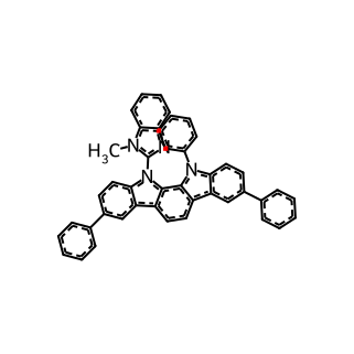 Cn1c(-n2c3ccc(-c4ccccc4)cc3c3ccc4c5cc(-c6ccccc6)ccc5n(-c5ccccc5)c4c32)nc2ccccc21